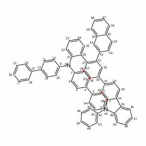 c1ccc(-c2ccc(N(c3ccc(-c4ccccc4)cc3)c3ccccc3-c3ccc(-c4ccc5c6ccccc6n(-c6ccccc6)c5c4)cc3-c3ccc4ccccc4c3)cc2)cc1